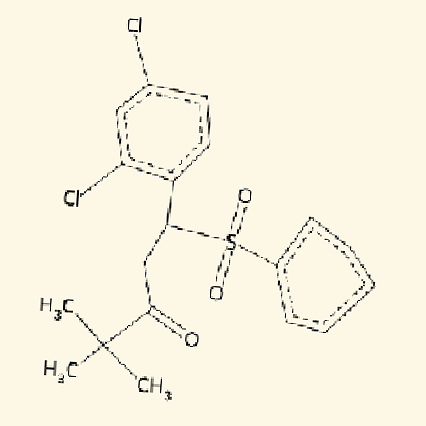 CC(C)(C)C(=O)CC(c1ccc(Cl)cc1Cl)S(=O)(=O)c1ccccc1